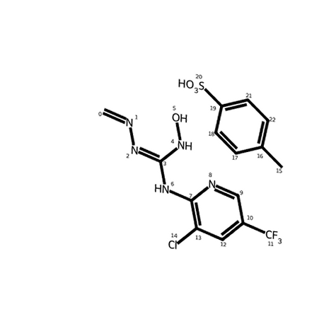 C=NN=C(NO)Nc1ncc(C(F)(F)F)cc1Cl.Cc1ccc(S(=O)(=O)O)cc1